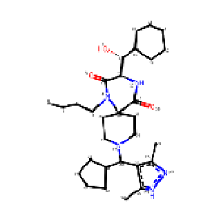 CCCCN1C(=O)[C@@H]([C@H](O)C2CCCCC2)NC(=O)C12CCN(C(c1c(C)n[nH]c1C)C1CCCC1)CC2